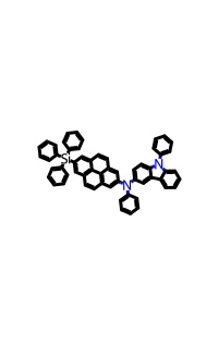 c1ccc(N(c2cc3ccc4cc([Si](c5ccccc5)(c5ccccc5)c5ccccc5)cc5ccc(c2)c3c45)c2ccc3c(c2)c2ccccc2n3-c2ccccc2)cc1